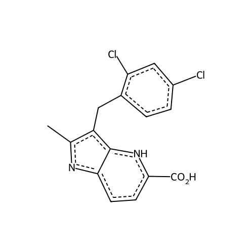 Cc1nc2ccc(C(=O)O)[nH]c-2c1Cc1ccc(Cl)cc1Cl